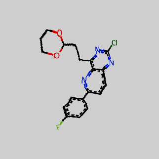 Fc1ccc(-c2ccc3nc(Cl)nc(CCC4OCCCO4)c3n2)cc1